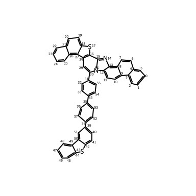 c1ccc2c(c1)ccc1c2ccc2c1nc1c3sc4ccc5ccccc5c4c3cc(-c3ccc(-c4ccc(-c5ccc6sc7ccccc7c6c5)cc4)cc3)n21